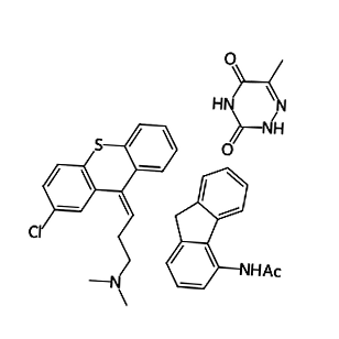 CC(=O)Nc1cccc2c1-c1ccccc1C2.CN(C)CC/C=C1/c2ccccc2Sc2ccc(Cl)cc21.Cc1n[nH]c(=O)[nH]c1=O